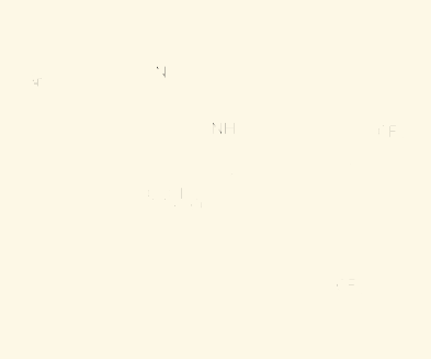 O=C(Nc1ncc(Br)cc1C(=O)O)c1cc(C(F)(F)F)cc(C(F)(F)F)c1